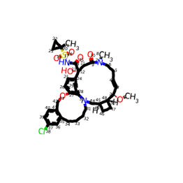 CO[C@H]1/C=C/CCN(C)C(=O)C[C@](O)(C(=O)NS(=O)(=O)C2(C)CC2)c2ccc3c(c2)N(CCCCc2cc(Cl)ccc2CO3)C[C@@H]2CC[C@H]21